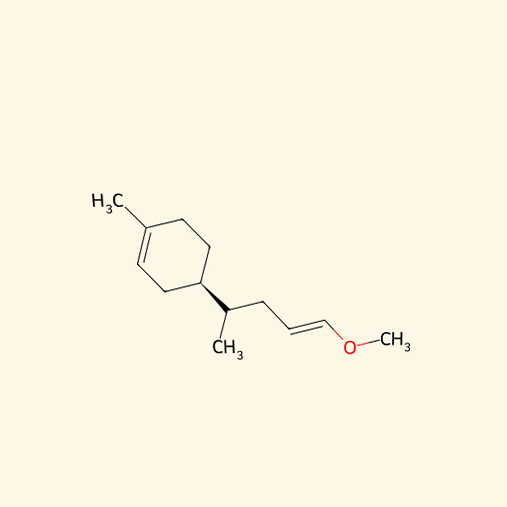 COC=CCC(C)[C@H]1CC=C(C)CC1